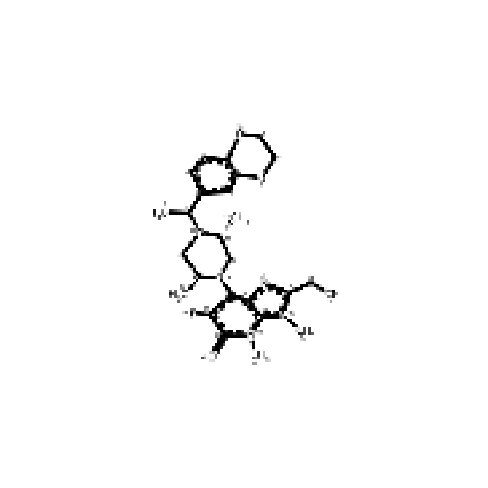 CC(c1ccc2c(c1)OCCO2)N1C[C@H](C)N(c2c(F)c(=O)n(C)c3c2nc(CC#N)n3C)C[C@H]1C